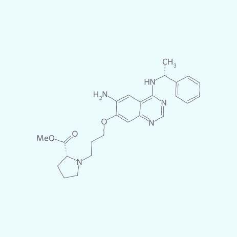 COC(=O)[C@H]1CCCN1CCCOc1cc2ncnc(N[C@H](C)c3ccccc3)c2cc1N